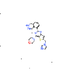 C1=NNCc2cccc(-c3nc(N4CCOCC4)c4sc(Cn5ccnc5)cc4n3)c21